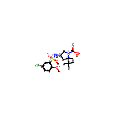 COc1ccc(Cl)cc1S(=O)(=O)N[C@H]1CN(C(=O)O)[C@](C)(C(C)(C)C)C1